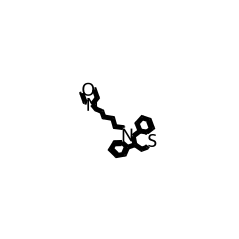 C1=CC2SCCC3c4ccccc4N(CCCCCCN4CCOCC4)C3C2CC1